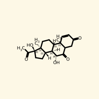 CC(=O)[C@@]1(O)CC[C@H]2[C@@H]3[C@@H](O)C(=O)C4CC(=O)C=C[C@]4(C)[C@H]3CC[C@@]21C